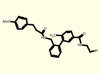 COc1ccc(CCC(=O)NCc2ccccc2-c2cc(C(=O)NCCC(C)C)ccc2C)cc1